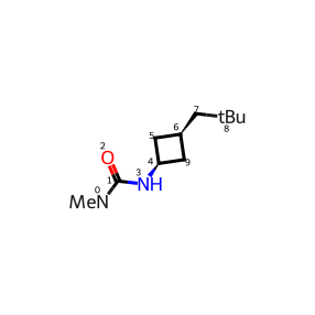 CNC(=O)N[C@H]1C[C@@H](CC(C)(C)C)C1